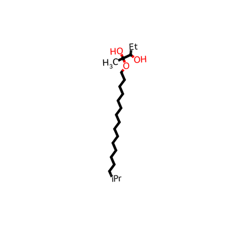 CCC(O)C(C)(O)OCCCCCCCCCCCCCCCC(C)C